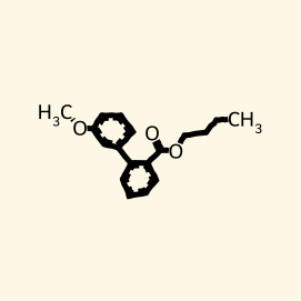 CCCCOC(=O)c1ccccc1-c1cccc(OC)c1